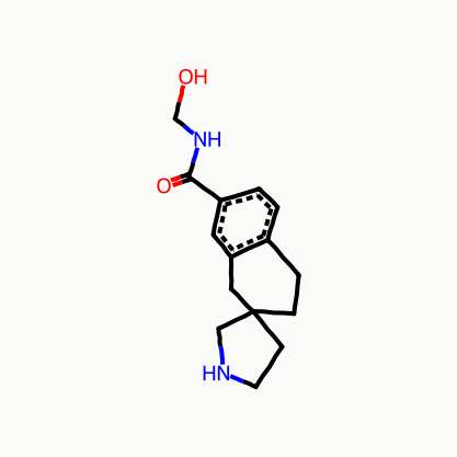 O=C(NCO)c1ccc2c(c1)CC1(CCNC1)CC2